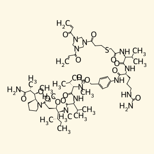 C=CC(=O)N1CN(C(=O)C=C)CN(C(=O)CCSCC(=O)N[C@H](C(=O)N[C@@H](CCCNC(N)=O)C(=O)Nc2ccc(COC(=O)N(C)[C@H](C(=O)N[C@H](C(=O)N(C)[C@@H]([C@@H](C)CC)[C@@H](CC(=O)N3CCC[C@H]3[C@H](OC)[C@@H](C)C(N)=O)OC)C(C)C)C(C)C)cc2)C(C)C)C1